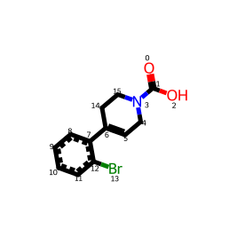 O=C(O)N1CC=C(c2ccccc2Br)CC1